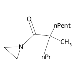 CCCCCC(C)(CCC)C(=O)N1CC1